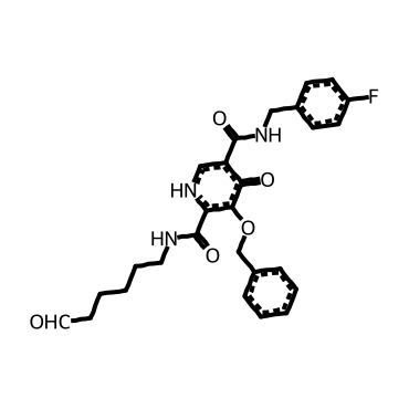 O=CCCCCCNC(=O)c1[nH]cc(C(=O)NCc2ccc(F)cc2)c(=O)c1OCc1ccccc1